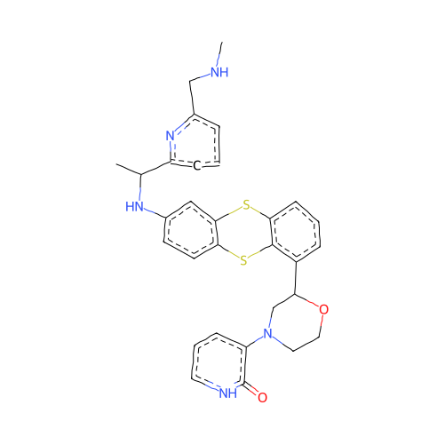 CNCc1cccc(C(C)Nc2ccc3c(c2)Sc2cccc(C4CN(c5ccc[nH]c5=O)CCO4)c2S3)n1